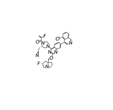 C=C(F)C(=O)N1CCN(c2nc(OC[C@@]34CCCN3C[C@H](F)C4)nc3cc(-c4cncc5cccc(Cl)c45)ccc23)C[C@@H]1CC#N